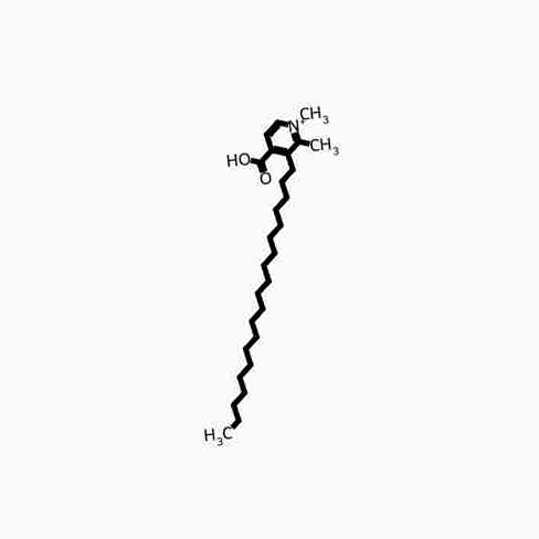 CCCCCCCCCCCCCCCCCCCCc1c(C(=O)O)cc[n+](C)c1C